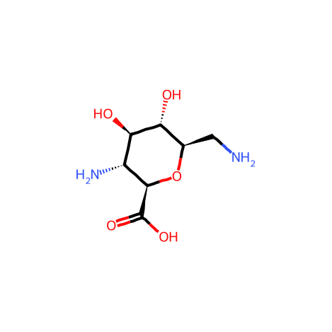 NC[C@H]1O[C@@H](C(=O)O)[C@H](N)[C@@H](O)[C@@H]1O